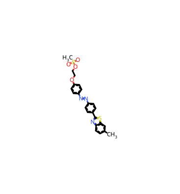 Cc1ccc2nc(-c3ccc(/N=N/c4ccc(OCCOS(C)(=O)=O)cc4)cc3)sc2c1